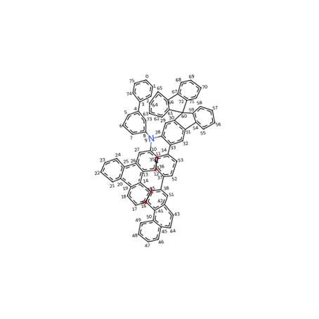 c1ccc(-c2cccc(N(c3ccc4c5ccccc5c5ccccc5c4c3)c3cc4c(cc3-c3ccc(-c5ccc6c(ccc7ccccc76)c5)cc3)-c3ccccc3C43c4ccccc4-c4ccccc43)c2)cc1